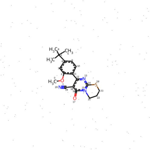 COc1cc(C(C)(C)C)ccc1-c1nc2n(c(=O)c1C#N)CCCS2